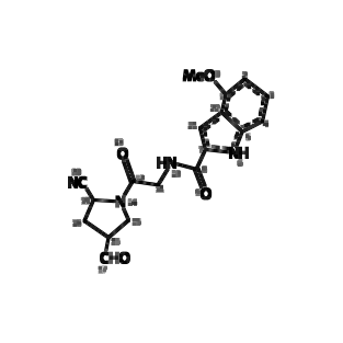 COc1cccc2[nH]c(C(=O)NCC(=O)N3CC(C=O)CC3C#N)cc12